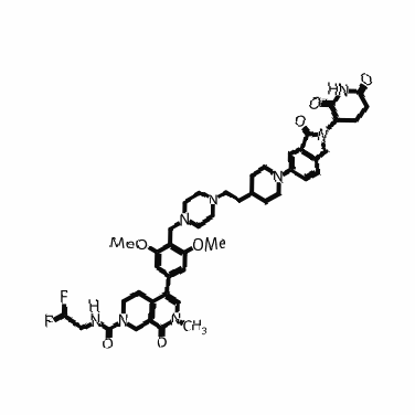 COc1cc(-c2cn(C)c(=O)c3c2CCN(C(=O)NCC(F)F)C3)cc(OC)c1CN1CCN(CCC2CCN(c3ccc4c(c3)C(=O)N(C3CCC(=O)NC3=O)C4)CC2)CC1